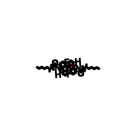 CCCCCC(C)C(C)(C)C(=O)Nc1ccc(F)[c]([Ti]([C]2=CC=CC2)([C]2=CC=CC2)[c]2c(F)ccc(NC(=O)C(C)(C)C(C)CCCCC)c2F)c1F